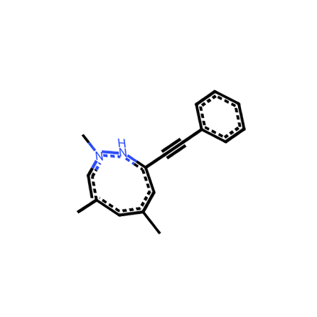 Cc1cc(C)cn(C)[nH]c(C#Cc2ccccc2)c1